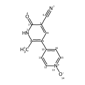 Cc1[nH]c(=O)c(C#N)cc1-c1cc[n+]([O-])cc1